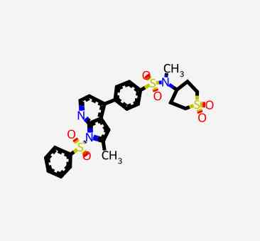 Cc1cc2c(-c3ccc(S(=O)(=O)N(C)C4CCS(=O)(=O)CC4)cc3)ccnc2n1S(=O)(=O)c1ccccc1